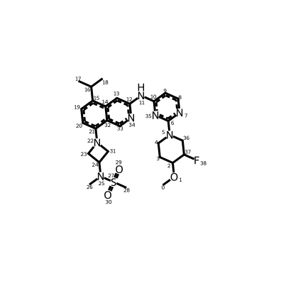 COC1CCN(c2nccc(Nc3cc4c(C(C)C)ccc(N5CC(N(C)S(C)(=O)=O)C5)c4cn3)n2)CC1F